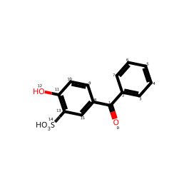 O=C(c1ccccc1)c1ccc(O)c(S(=O)(=O)O)c1